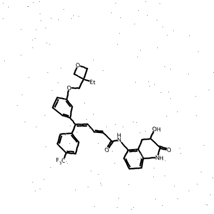 CCC1(COc2cccc(C(=CC=CC(=O)Nc3cccc4c3CC(O)C(=O)N4)c3ccc(C(F)(F)F)cc3)c2)COC1